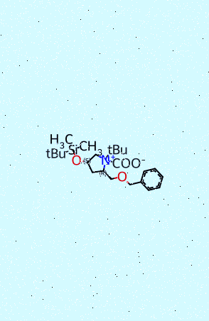 CC(C)(C)[N+]1(C(=O)[O-])C[C@@H](O[Si](C)(C)C(C)(C)C)C[C@@H]1COCc1ccccc1